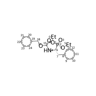 CCOP(=O)(OCC)[C@H](Cc1ccccc1)NC(=O)OCc1ccccc1